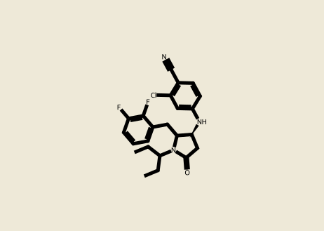 CCC(CC)N1C(=O)C[C@H](Nc2ccc(C#N)c(Cl)c2)C1Cc1cccc(F)c1F